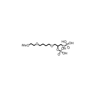 COCCOCCCCOCC(COP(=O)(O)O)OP(=O)(O)O